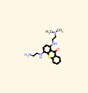 CN(C)CCNc1ccc(NCCN)c2sc3ccccc3c(=O)c12